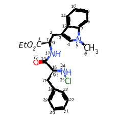 CCOC(=O)[C@@H](Cc1cn(C)c2ccccc12)NC(=O)[C@H](Cc1ccccc1)NCl